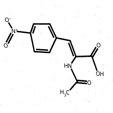 CC(=O)NC(=Cc1ccc([N+](=O)[O-])cc1)C(=O)O